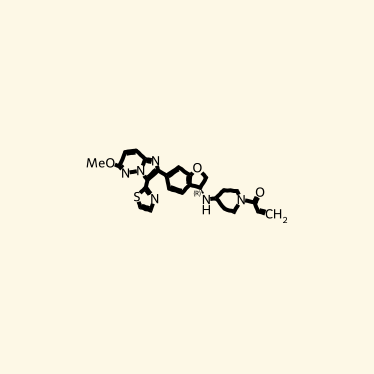 C=CC(=O)N1CCC(N[C@H]2COc3cc(-c4nc5ccc(OC)nn5c4-c4nccs4)ccc32)CC1